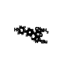 Cc1nn(C(C)(C)C)c2c1C(c1ccc(N3CCNCC3)cc1)C(C#N)=C(N)O2